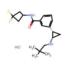 CC(C)(C)CN[C@@H]1C[C@H]1c1cccc(C(=O)NC2CC(F)(F)C2)c1.Cl